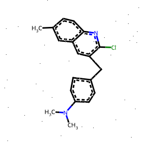 Cc1ccc2nc(Cl)c(Cc3ccc(N(C)C)cc3)cc2c1